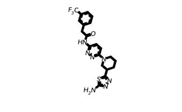 Nc1nnc(C2CCCN(c3ccc(NC(=O)Cc4cccc(C(F)(F)F)c4)nn3)C2)s1